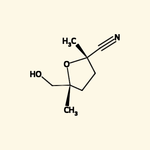 C[C@]1(CO)CC[C@@](C)(C#N)O1